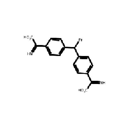 CCC(c1ccc(C(=N)C(=O)O)cc1)c1ccc(C(=N)C(=O)O)cc1